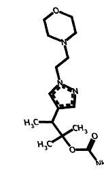 CC(c1cnn(CCN2CCOCC2)c1)C(C)(C)OC(N)=O